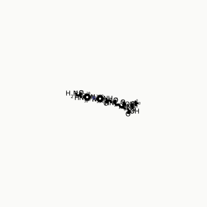 CC(C)(C)OC(=O)N[C@@H](CC(CCCC(=O)NCC(=O)Nc1ccc(/N=N/c2ccc(NC(=O)CN)cc2)cc1)C(=O)O)C(=O)O